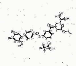 CCOC(=O)CN(CCC(=N)NO)C(=O)c1cccc(COc2ccc(-c3cc(F)c(F)cc3SC)cc2)c1.O=C(O)C(F)(F)F